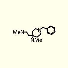 CNCCC1(NC)CCN(Cc2ccccc2)CC1